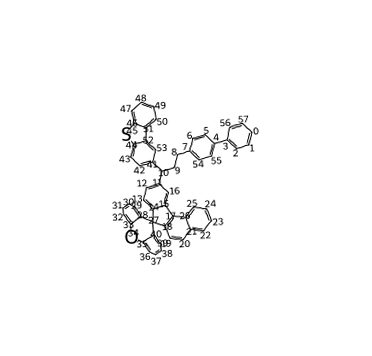 c1ccc(-c2ccc(CCC(c3ccc4c(c3)-c3c(ccc5ccccc35)C43c4ccccc4Oc4ccccc43)c3ccc4sc5ccccc5c4c3)cc2)cc1